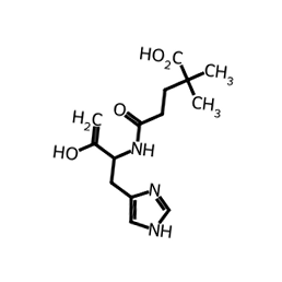 C=C(O)C(Cc1c[nH]cn1)NC(=O)CCC(C)(C)C(=O)O